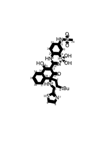 CC(C)(C)CCC1(NCc2nccs2)C(=O)C(C2=NS(O)(O)c3cc(NS(C)(=O)=O)ccc3N2)=C(O)c2ccccc21